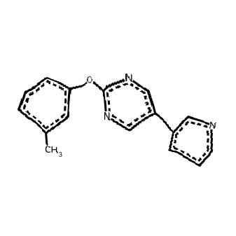 Cc1cccc(Oc2ncc(-c3cccnc3)cn2)c1